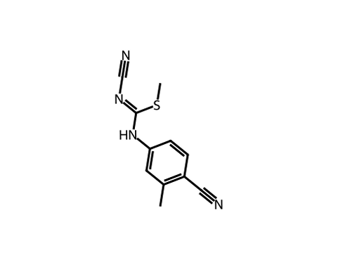 CS/C(=N\C#N)Nc1ccc(C#N)c(C)c1